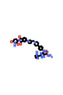 NC(=O)c1nnc(-c2ncc[nH]2)nc1Nc1ccc(C2CCN(CC3CCN(c4ccc5c(c4)C(=O)N(C4CCC(=O)NC4=O)C5=O)C3)CC2)cc1